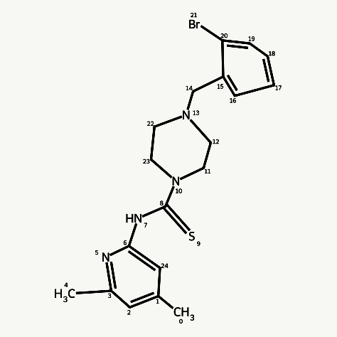 Cc1cc(C)nc(NC(=S)N2CCN(Cc3ccccc3Br)CC2)c1